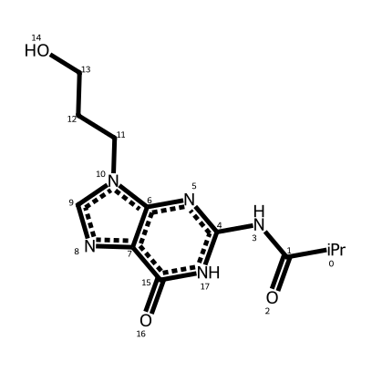 CC(C)C(=O)Nc1nc2c(ncn2CCCO)c(=O)[nH]1